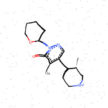 C[C@@H]1CNCCC1c1cnn(C2CCCCO2)c(=O)c1C#N